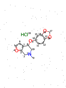 CN1Cc2occc2C(Oc2ccc3c(c2)OCO3)C1.Cl